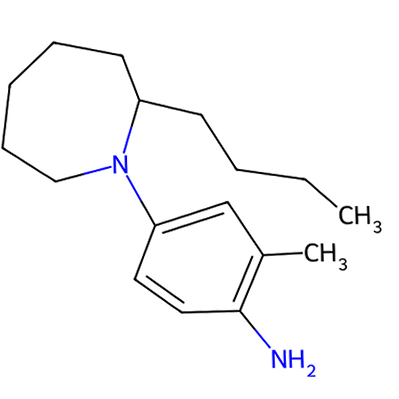 CCCCC1CCCCCN1c1ccc(N)c(C)c1